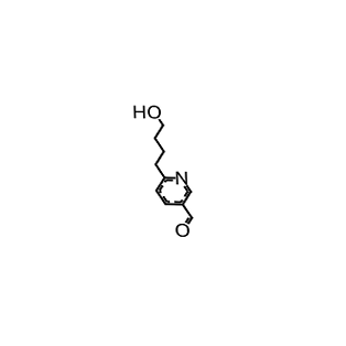 O=Cc1ccc(CCCCO)nc1